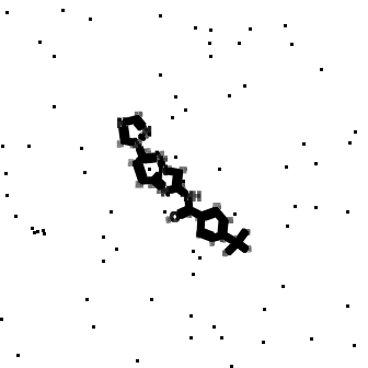 CC(C)(C)c1ccc(C(=O)Nc2cn3nc(-n4cncn4)ccc3n2)cc1